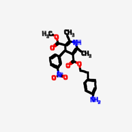 COC(=O)C1=C(C)NC(C)=C(C(=O)OCCc2ccc(N)cc2)C1c1cccc([N+](=O)[O-])c1